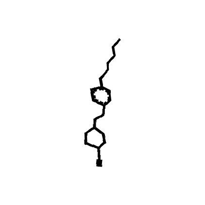 C#CC1CCC(CCc2ccc(CCCCCC)cc2)CC1